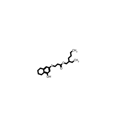 CCCCC(CC)COC(=O)CCSc1cc(O)c2c(c1)CCCC2